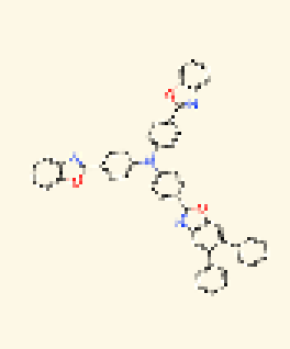 c1ccc(-c2cc3nc(-c4ccc(N(c5ccc(-c6nc7ccccc7o6)cc5)c5ccc(-c6nc7ccccc7o6)cc5)cc4)oc3cc2-c2ccccc2)cc1